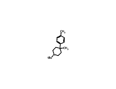 Cc1ccc(C2(C)CCN(C(C)(C)C)CC2)cc1